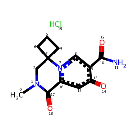 CN1CC2(CCC2)n2cc(C(N)=O)c(=O)cc2C1=O.Cl